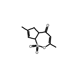 CC1=CC2C(C1)C(=O)C=C(C)OS2(=O)=O